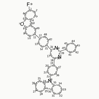 Fc1ccc2c(c1)oc1ccc(-c3ccc(-c4cc(-c5ccc(-n6c7ccccc7c7ccccc76)cc5)nc(-c5ccccc5)n4)cc3)cc12